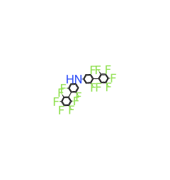 Fc1cc(Nc2cc(F)c(-c3c(F)c(F)c(F)c(F)c3F)c(F)c2)cc(F)c1-c1c(F)c(F)c(F)c(F)c1F